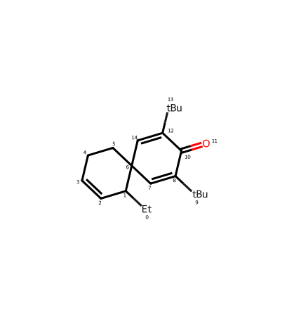 CCC1C=CCCC12C=C(C(C)(C)C)C(=O)C(C(C)(C)C)=C2